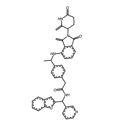 C=C1NC(=O)CCC1N1C(=C)c2c(NC(C)c3ccc(CC(=O)NC(c4cccnc4)c4cc5ccccc5o4)cc3)cccc2C1=O